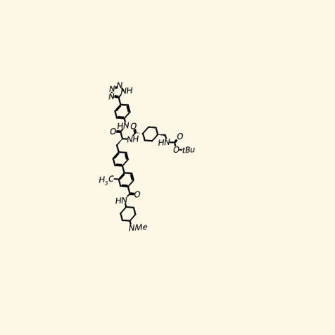 CNC1CCC(NC(=O)c2ccc(-c3ccc(C[C@H](NC(=O)[C@H]4CC[C@H](CNC(=O)OC(C)(C)C)CC4)C(=O)Nc4ccc(-c5nnn[nH]5)cc4)cc3)c(C)c2)CC1